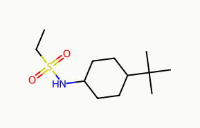 CCS(=O)(=O)NC1CCC(C(C)(C)C)CC1